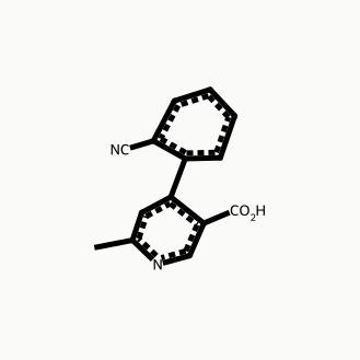 Cc1cc(-c2ccccc2C#N)c(C(=O)O)cn1